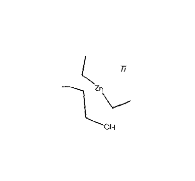 CCCO.C[CH2][Zn][CH2]C.[Ti]